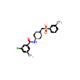 O=C(NC1CCC(CS(=O)(=O)c2cccc(C(F)(F)F)c2)CC1)c1cc(F)cc(C(F)(F)F)c1